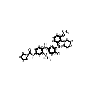 COc1cc(NC(=O)N2CCCC2)ccc1Nc1ncc(Cl)c(Nc2cccc(OC)c2N2CCOCC2)n1